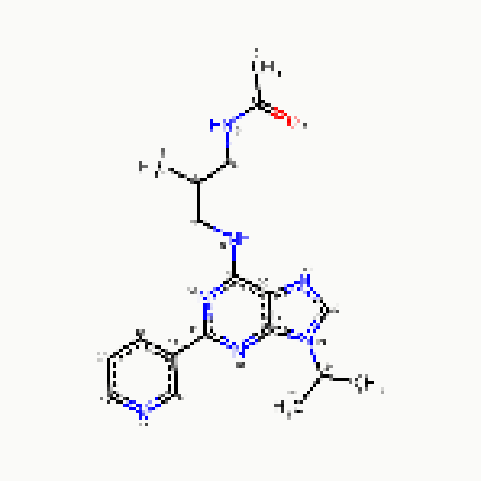 CC(=O)NCC(C)CNc1nc(-c2cccnc2)nc2c1ncn2C(C)C